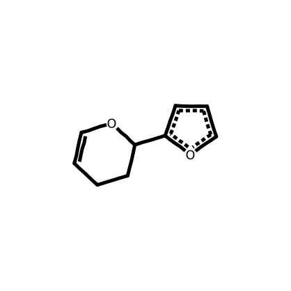 C1=COC(c2ccco2)CC1